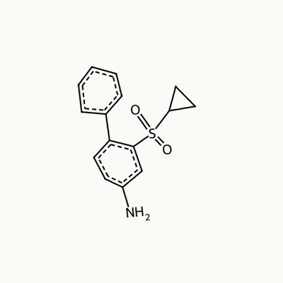 Nc1ccc(-c2ccccc2)c(S(=O)(=O)C2CC2)c1